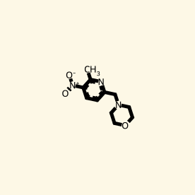 Cc1nc(CN2CCOCC2)ccc1[N+](=O)[O-]